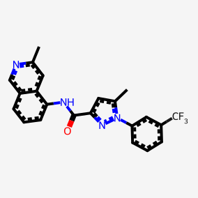 Cc1cc2c(NC(=O)c3cc(C)n(-c4cccc(C(F)(F)F)c4)n3)cccc2cn1